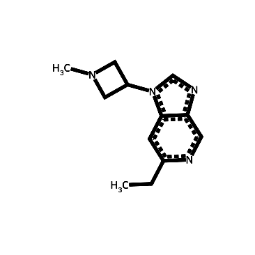 CCc1cc2c(cn1)ncn2C1CN(C)C1